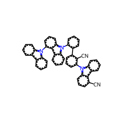 N#Cc1c(-c2ccccc2-n2c3ccccc3c3c(-n4c5ccccc5c5ccccc54)cccc32)cccc1-n1c2ccccc2c2c(C#N)cccc21